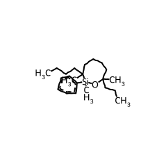 CCCCC1(C)CCCCC(C)(CCC)O[Si]1(C)c1ccccc1